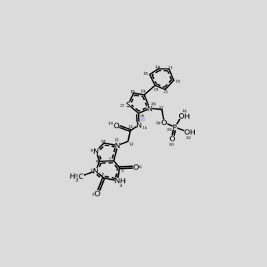 Cn1c(=O)[nH]c(=O)c2c1ncn2CC(=O)/N=c1\scc(-c2ccccc2)n1COP(=O)(O)O